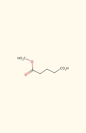 O=C(O)CCCC(=O)OC(=O)O